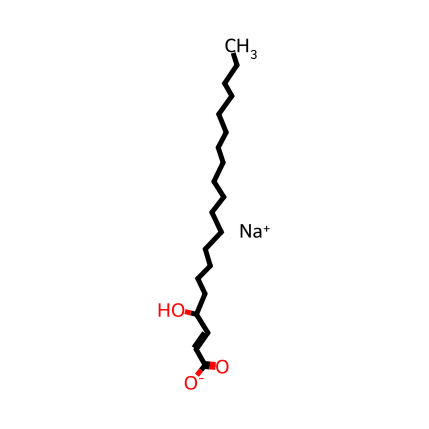 CCCCCCCCCCCCCCCCC(O)C=CC(=O)[O-].[Na+]